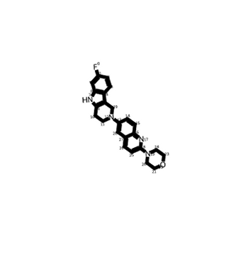 Fc1ccc2c3c([nH]c2c1)CCN(c1ccc2nc(N4CCOCC4)ccc2c1)C3